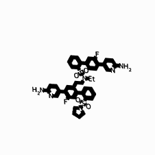 CCN(CCc1cc(-c2ccc(N)nc2)c(F)cc1-c1ccccc1S(=O)(=O)N1CCCC1)S(=O)(=O)c1ccccc1-c1ccc(-c2ccc(N)nc2)c(F)c1